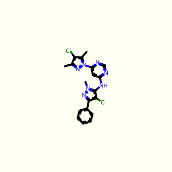 Cc1nn(-c2cc(Nc3c(Cl)c(-c4ccccc4)nn3C)ncn2)c(C)c1Cl